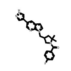 CC1(C)CC(Cn2ccc3cc(-c4cn[nH]c4)cnc32)CN1C(=O)c1ccc(F)cc1